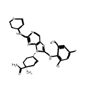 C[C@]1(C(N)=O)CC[C@H](n2c(Nc3c(Cl)cc(F)cc3Cl)nc3cnc(NC4CCOCC4)nc32)CC1